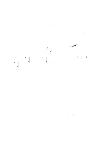 COC(=O)[C@]1(S(=O)(=O)c2ccc(OC)cc2)CCCN1N=[N+]=[N-]